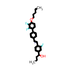 C=CCCCOc1ccc(-c2ccc(/C=C/c3ccc(C(O)CCC)cc3F)cc2)c(F)c1F